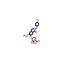 Cc1cc2ccn(Cc3ccc(Cl)cc3)c(=O)c2cc1O[C@H]1CCN2C(=O)OC[C@@H]2C1